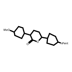 CCCCCC1CCC(C2CCC(C3CCC(OC)CC3)C(=O)O2)CC1